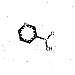 C[S+]([O-])c1[c]ccnc1